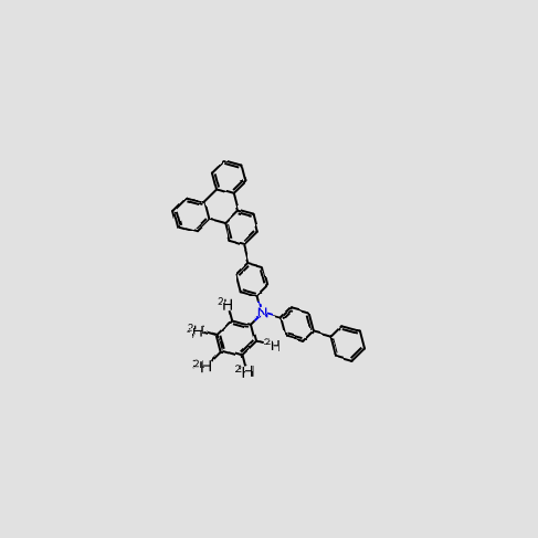 [2H]c1c([2H])c([2H])c(N(c2ccc(-c3ccccc3)cc2)c2ccc(-c3ccc4c5ccccc5c5ccccc5c4c3)cc2)c([2H])c1[2H]